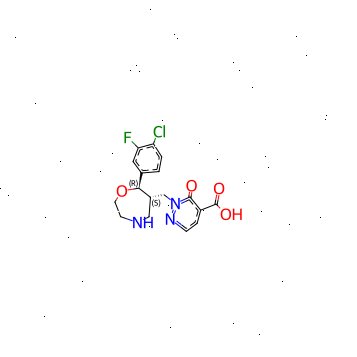 O=C(O)c1ccnn(C[C@@H]2CNCCO[C@H]2c2ccc(Cl)c(F)c2)c1=O